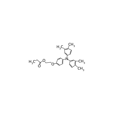 CCC(=O)OCCOc1ccc(N(c2ccc(C)c(C)c2)c2ccc(C)c(C)c2)cc1